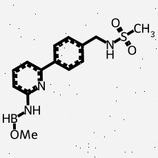 COBNc1cccc(-c2ccc(CNS(C)(=O)=O)cc2)n1